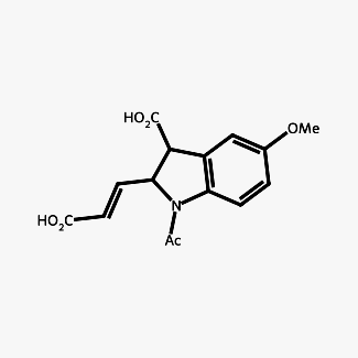 COc1ccc2c(c1)C(C(=O)O)C(C=CC(=O)O)N2C(C)=O